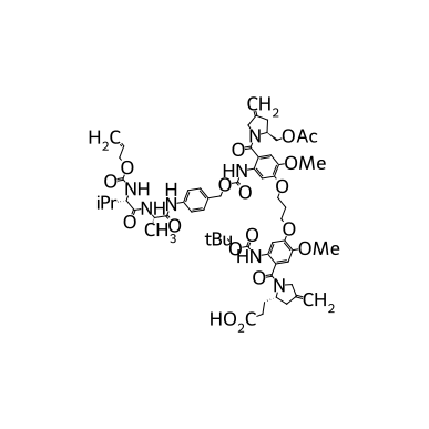 C=CCOC(=O)N[C@H](C(=O)N[C@@H](C)C(=O)Nc1ccc(COC(=O)Nc2cc(OCCCOc3cc(NC(=O)OC(C)(C)C)c(C(=O)N4CC(=C)C[C@@H]4CCC(=O)O)cc3OC)c(OC)cc2C(=O)N2CC(=C)C[C@H]2COC(C)=O)cc1)C(C)C